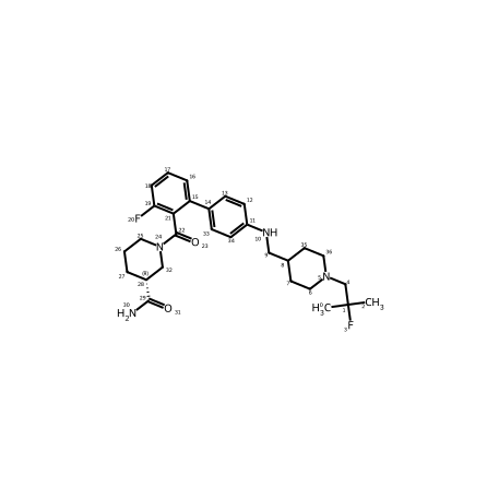 CC(C)(F)CN1CCC(CNc2ccc(-c3cccc(F)c3C(=O)N3CCC[C@@H](C(N)=O)C3)cc2)CC1